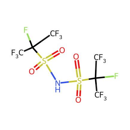 O=S(=O)(NS(=O)(=O)C(F)(C(F)(F)F)C(F)(F)F)C(F)(C(F)(F)F)C(F)(F)F